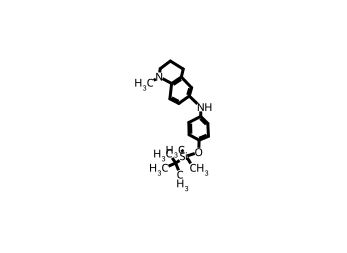 CN1CCCc2cc(Nc3ccc(O[Si](C)(C)C(C)(C)C)cc3)ccc21